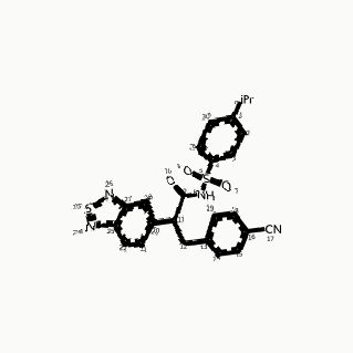 CC(C)c1ccc(S(=O)(=O)NC(=O)C(Cc2ccc(C#N)cc2)c2ccc3nsnc3c2)cc1